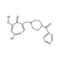 CCOc1cc(C(C)C)ccc(CN2CCC(C(=O)c3ccccc3)CC2)c1=O